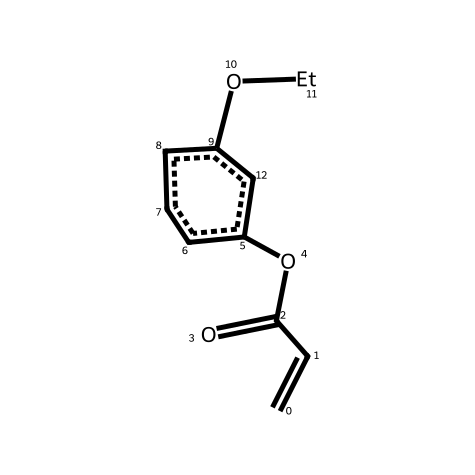 C=CC(=O)Oc1cccc(OCC)c1